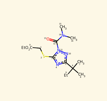 CCOC(=O)CSc1nc(C(C)(C)CC)nn1C(=O)N(C)C